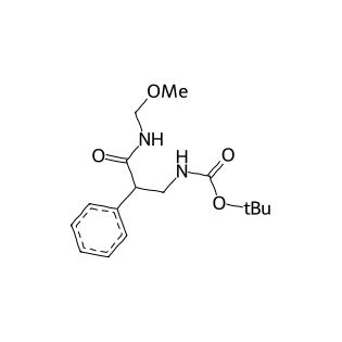 COCNC(=O)C(CNC(=O)OC(C)(C)C)c1ccccc1